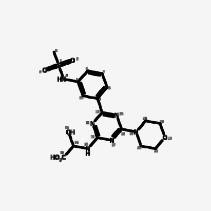 CS(=O)(=O)Nc1cccc(-c2nc(NC(O)C(=O)O)nc(N3CCOCC3)n2)c1